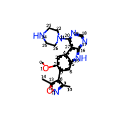 COc1cc2c(cc1-c1c(C)noc1C)[nH]c1ncnc(N3CCNCC3)c12